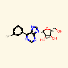 CCCc1cccc(-c2ncnc3c2ncn3[C@@H]2O[C@H](CO)[C@@H](O)[C@H]2O)c1